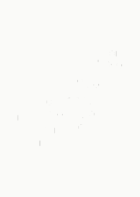 O=C(OC1C2CC3C(OC(=O)C31)C2C(=O)OCCS(=O)(=O)O)c1cc(I)cc(I)c1I